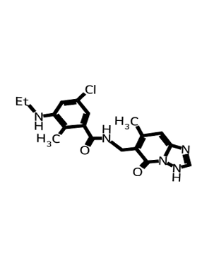 CCNc1cc(Cl)cc(C(=O)NCc2c(C)cc3nc[nH]n3c2=O)c1C